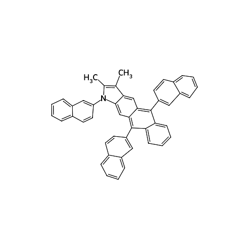 Cc1c(C)n(-c2ccc3ccccc3c2)c2cc3c(-c4ccc5ccccc5c4)c4ccccc4c(-c4ccc5ccccc5c4)c3cc12